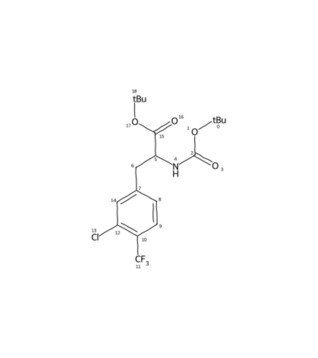 CC(C)(C)OC(=O)NC(Cc1ccc(C(F)(F)F)c(Cl)c1)C(=O)OC(C)(C)C